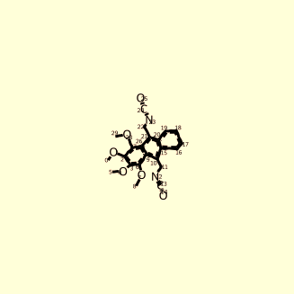 COc1c(OC)c(OC)c2c(CN=C=O)c3ccccc3c(CN=C=O)c2c1OC